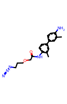 Cc1cc(-c2ccc(NC(=O)COCCCN=[N+]=[N-])c(C)c2)ccc1N